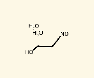 O.O.O=NCCO